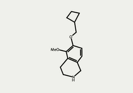 COc1c(OCC2CCC2)ccc2c1CCNC2